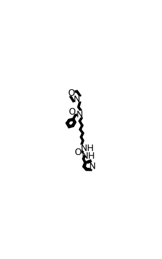 O=C(NCCCCCCCCN(CCCN1CCOCC1)C(=O)c1ccccc1)NCc1cccnc1